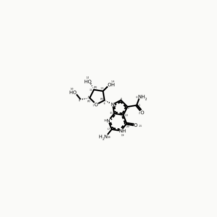 NC(=O)c1cn([C@@H]2O[C@H](CO)[C@H](O)C2O)c2nc(N)[nH]c(=O)c12